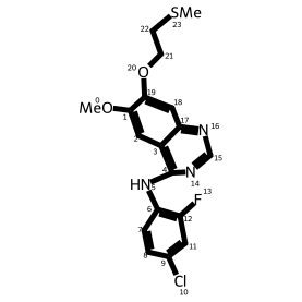 COc1cc2c(Nc3ccc(Cl)cc3F)ncnc2cc1OCCSC